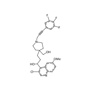 COc1ccc2ncc(Cl)c(C(O)CCC3(CO)CCN(CC#Cc4cc(F)c(F)c(F)c4)CC3)c2c1